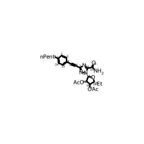 CCCCCc1ccc(C#Cc2nc(C(N)=O)n([C@@H]3O[C@H](CC)C(OC(C)=O)[C@@H]3OC(C)=O)n2)cc1